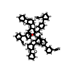 N#Cc1cccc(-c2ccc(-c3nc(-c4ccc(-c5ccccc5C#N)cc4-n4c5ccccc5c5c6oc7ccccc7c6ccc54)nc(-c4ccc(-c5ccccc5C#N)cc4-n4c5ccccc5c5c6oc7ccccc7c6ccc54)n3)cc2)c1